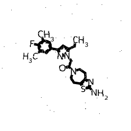 CCc1cc(-c2cc(C)c(F)c(C)c2)nn1CC(=O)N1CCc2nc(N)sc2CC1